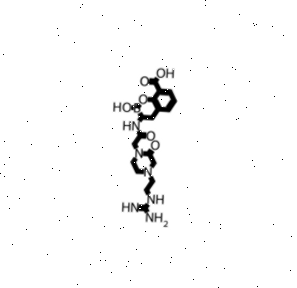 N=C(N)NCCN1CCN(CC(=O)NC2Cc3cccc(C(=O)O)c3OB2O)C(=O)C1